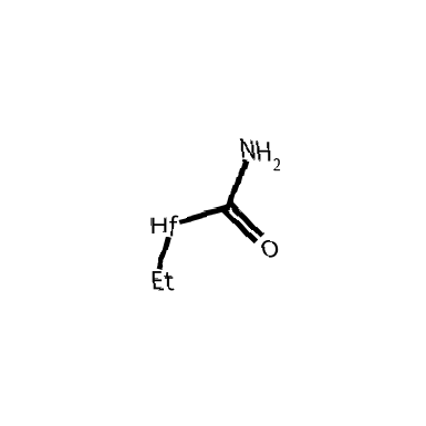 C[CH2][Hf][C](N)=O